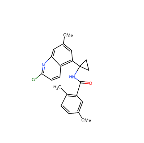 COc1ccc(C)c(C(=O)NC2(c3cc(OC)cc4nc(Cl)ccc34)CC2)c1